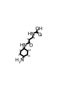 NC1CCC(NC(=O)CCNC(=O)O)CC1